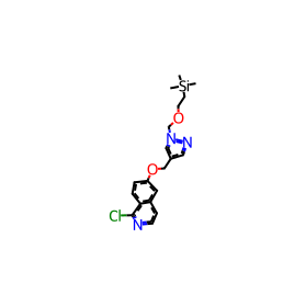 C[Si](C)(C)CCOCn1cc(COc2ccc3c(Cl)nccc3c2)cn1